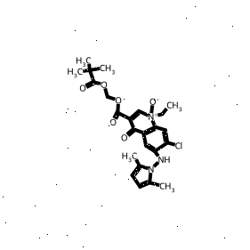 CC[N+]1([O-])C=C(C(=O)OCOC(=O)C(C)(C)C)C(=O)c2cc(Nn3c(C)ccc3C)c(Cl)cc21